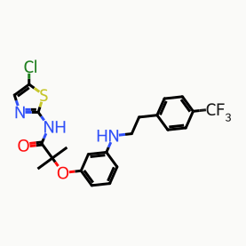 CC(C)(Oc1cccc(NCCc2ccc(C(F)(F)F)cc2)c1)C(=O)Nc1ncc(Cl)s1